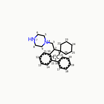 CC1(C(CN2CCNCC2)c2ccccc2-c2ccccc2)CCCCC1